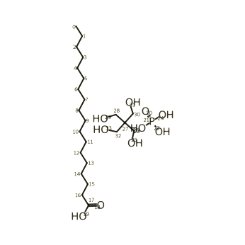 CCCCCCCCCCCCCCCCCC(=O)O.O=P(O)(O)O.OCC(CO)(CO)CO